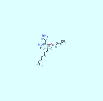 CCCCCCCC(C)(CCCCCC)C(=O)[C@H](N)CCN